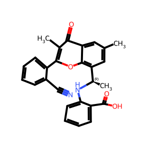 Cc1cc([C@@H](C)Nc2ccccc2C(=O)O)c2oc(-c3ccccc3C#N)c(C)c(=O)c2c1